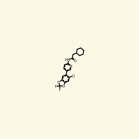 O=C(CC1CCCCC1)Nc1ccc(-c2cc3c(cc2Cl)OC(F)(F)O3)cn1